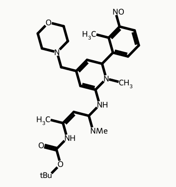 CNC(/C=C(/C)NC(=O)OC(C)(C)C)NC1=CC(CN2CCOCC2)=CC(c2cccc(N=O)c2C)N1C